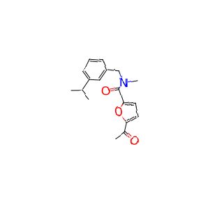 CC(=O)c1ccc(C(=O)N(C)Cc2cccc(C(C)C)c2)o1